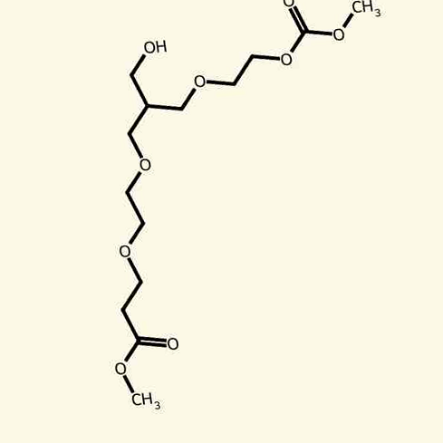 COC(=O)CCOCCOCC(CO)COCCOC(=O)OC